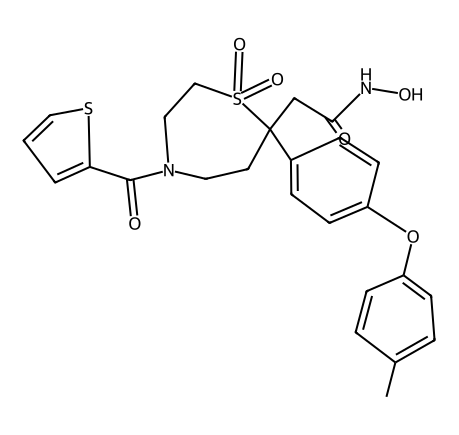 Cc1ccc(Oc2ccc(C3(CC(=O)NO)CCN(C(=O)c4cccs4)CCS3(=O)=O)cc2)cc1